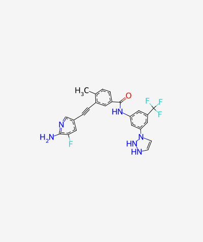 Cc1ccc(C(=O)Nc2cc(N3C=CNN3)cc(C(F)(F)F)c2)cc1C#Cc1cnc(N)c(F)c1